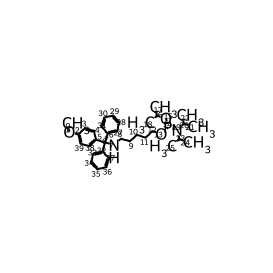 COc1ccc(C(NCCCCCOP(OC(C)C)N(C(C)C)C(C)C)(c2ccccc2)c2ccccc2)cc1